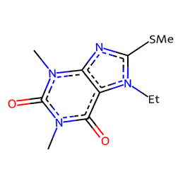 CCn1c(SC)nc2c1c(=O)n(C)c(=O)n2C